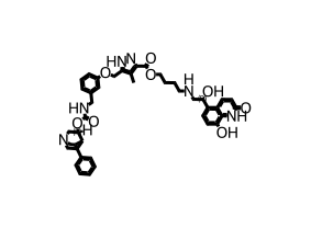 Cc1c(C(=O)OCCCCNC[C@H](O)c2ccc(O)c3[nH]c(=O)ccc23)n[nH]c1COc1cccc(CNC(=O)O[C@H]2CN3CCC2C(c2ccccc2)C3)c1